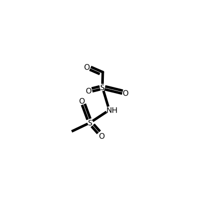 CS(=O)(=O)NS(=O)(=O)C=O